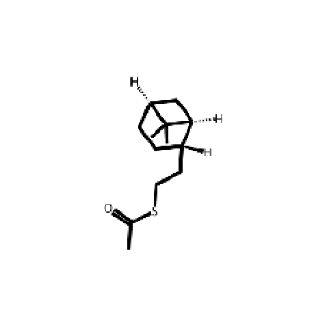 CC(=O)SCC[C@@H]1CC[C@H]2C[C@@H]1C2(C)C